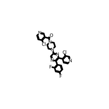 O=C(c1cnccc1Cl)N1CCN(c2cnc(-c3ccc(F)cc3F)c(-c3ccncc3Cl)n2)CC1